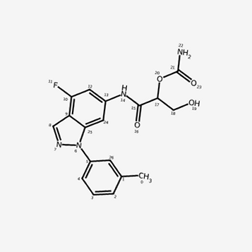 Cc1cccc(-n2ncc3c(F)cc(NC(=O)C(CO)OC(N)=O)cc32)c1